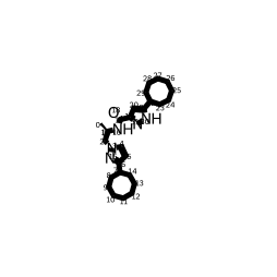 C[C@H](Cn1ccc(C2CCCCCCC2)n1)NC(=O)c1cc(C2CCCCCCC2)[nH]n1